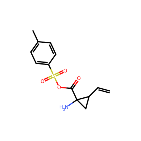 C=CC1CC1(N)C(=O)OS(=O)(=O)c1ccc(C)cc1